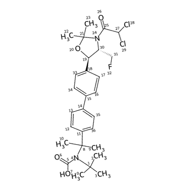 CC(C)(C)N(C(=O)O)C(C)(C)c1ccc(-c2ccc([C@H]3OC(C)(C)N(C(=O)C(Cl)Cl)[C@@H]3CF)cc2)cc1